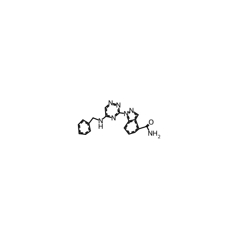 NC(=O)c1cccc2c1cnn2-c1nncc(NCc2ccccc2)n1